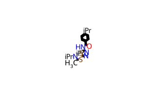 CC(C)c1ccc(C(=O)Nc2nnc(SC(C)N(C(C)C)C(C)C)s2)cc1